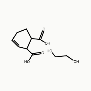 O=C(O)C1C=CCCC1C(=O)O.OCCO